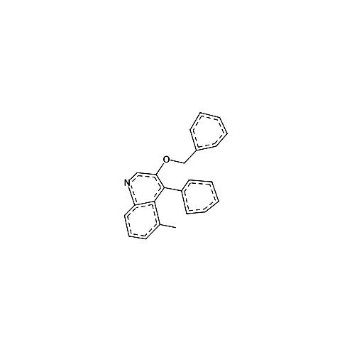 Cc1cccc2ncc(OCc3ccccc3)c(-c3ccccc3)c12